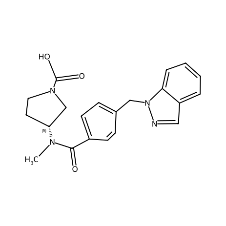 CN(C(=O)c1ccc(Cn2ncc3ccccc32)cc1)[C@@H]1CCN(C(=O)O)C1